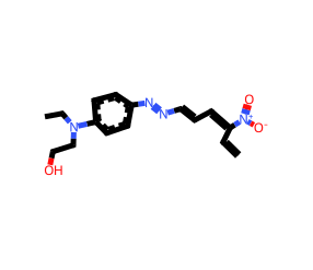 C=C\C(=C/C=C/N=N/c1ccc(N(CC)CCO)cc1)[N+](=O)[O-]